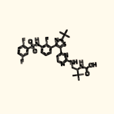 CC(C)(C)c1nc(-c2cccc(NS(=O)(=O)c3cc(F)ccc3F)c2F)c(-c2ccnc(NCC(NC(=O)O)C(C)(C)C)n2)s1